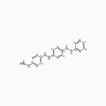 SSc1ccc(OOc2ccc(SSc3ccccc3)cc2)cc1